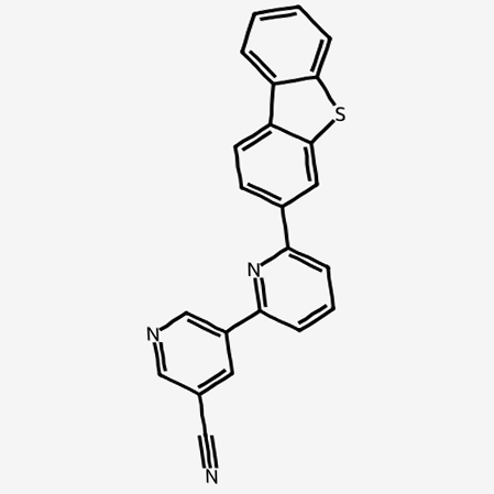 N#Cc1cncc(-c2cccc(-c3ccc4c(c3)sc3ccccc34)n2)c1